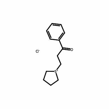 O=C(CC[S+]1CCCC1)c1ccccc1.[Cl-]